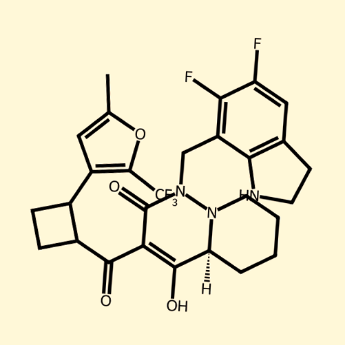 Cc1cc(C2CCC2C(=O)C2=C(O)[C@@H]3CCCCN3N(Cc3c(F)c(F)cc4c3NCC4)C2=O)c(C(F)(F)F)o1